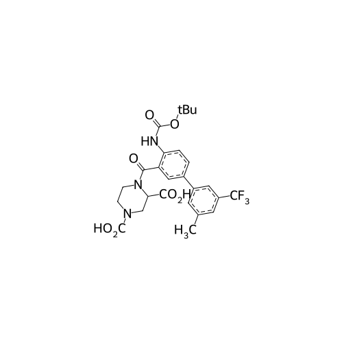 Cc1cc(-c2ccc(NC(=O)OC(C)(C)C)c(C(=O)N3CCN(C(=O)O)CC3C(=O)O)c2)cc(C(F)(F)F)c1